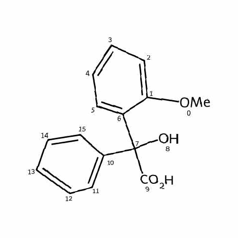 COc1ccccc1C(O)(C(=O)O)c1ccccc1